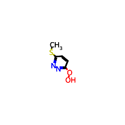 CSc1ccc(OO)nn1